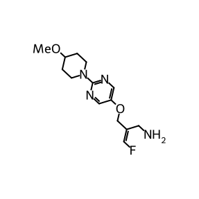 COC1CCN(c2ncc(OCC(=CF)CN)cn2)CC1